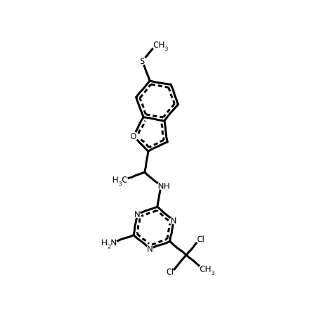 CSc1ccc2cc(C(C)Nc3nc(N)nc(C(C)(Cl)Cl)n3)oc2c1